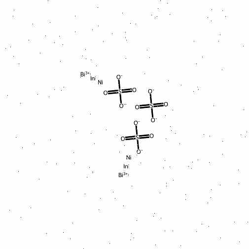 O=S(=O)([O-])[O-].O=S(=O)([O-])[O-].O=S(=O)([O-])[O-].[Bi+3].[Bi+3].[In].[In].[Ni].[Ni]